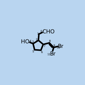 O=CCC1C(O)CCC1C=C(Br)Br